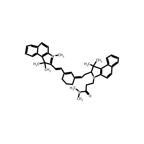 CN(C)C(=O)CCN1c2ccc3ccccc3c2C(C)(C)C1CC=C1C=C(/C=C/C2=[N+](C)c3ccc4ccccc4c3C2(C)C)CCC1